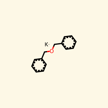 [K].c1ccc(COCc2ccccc2)cc1